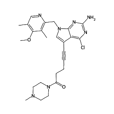 COc1c(C)cnc(Cn2cc(C#CCCC(=O)N3CCN(C)CC3)c3c(Cl)nc(N)nc32)c1C